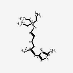 CC[Si](CC)(CC)OC=CCCC(C)=Cc1csc(C)n1